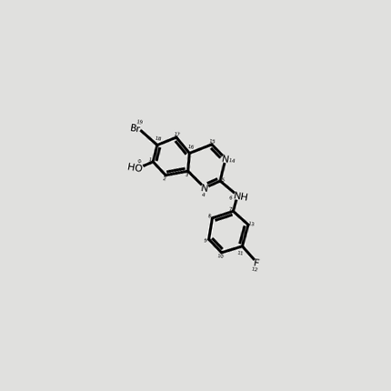 Oc1cc2nc(Nc3cccc(F)c3)ncc2cc1Br